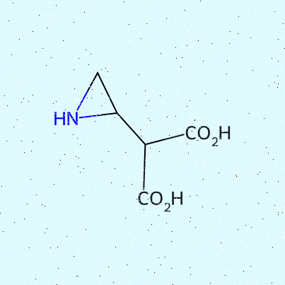 O=C(O)C(C(=O)O)C1CN1